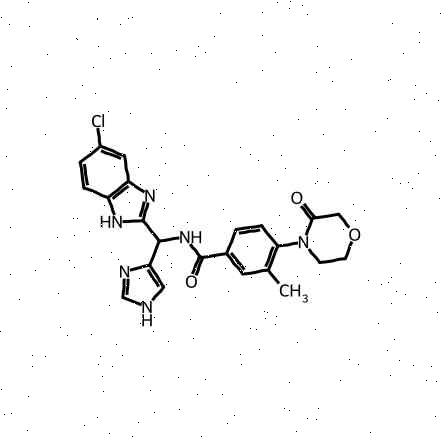 Cc1cc(C(=O)NC(c2c[nH]cn2)c2nc3cc(Cl)ccc3[nH]2)ccc1N1CCOCC1=O